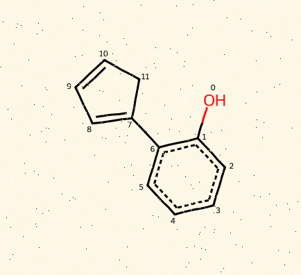 Oc1ccccc1C1=CC=CC1